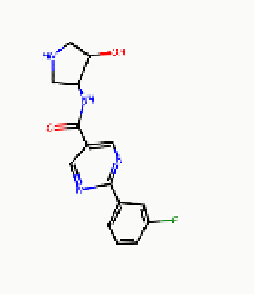 O=C(N[C@H]1CNC[C@H]1O)c1cnc(-c2cccc(F)c2)nc1